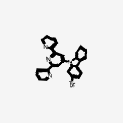 Brc1ccc2c3ccccc3n(-c3cc(-c4ccccn4)nc(-c4ccccn4)c3)c2c1